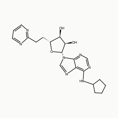 O[C@@H]1[C@H](O)[C@@H](CCc2ncccn2)O[C@H]1n1cnc2c(NC3CCCC3)ncnc21